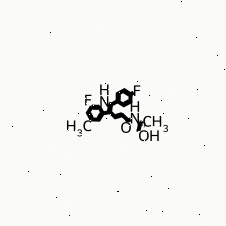 Cc1cc(F)c2[nH]c(-c3ccc(F)cc3)c(C=CC(=O)N[C@H](C)CO)c2c1